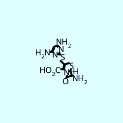 Nc1cc(N)nc(SCC2=C(C(=O)O)N3C(=O)C(N)[C@@H]3SC2)n1